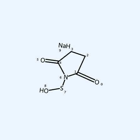 O=C1CCC(=O)N1SO.[NaH]